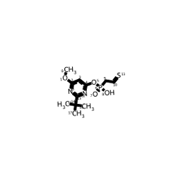 COc1cc(OP(=O)(O)CC=S)nc(C(C)(C)C)n1